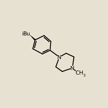 CC[C@H](C)c1ccc(N2CCN(C)CC2)cc1